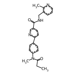 CCC(=O)N(C)c1ccc(-c2ccc(C(=O)NCc3cccnc3C)cn2)cc1